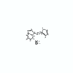 C1=CC[C]([Ti+2][CH]2C=Cc3ccccc32)=C1.[H-].[H-]